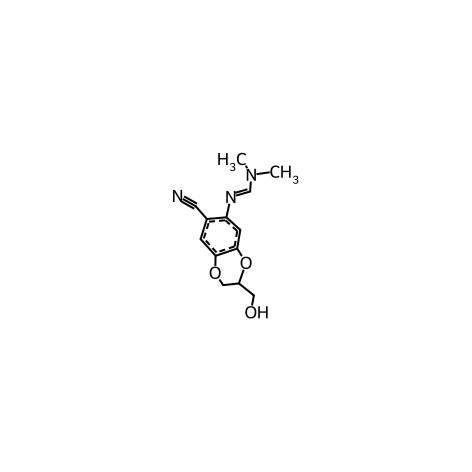 CN(C)/C=N/c1cc2c(cc1C#N)OCC(CO)O2